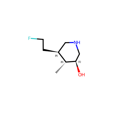 C[C@@H]1[C@@H](CCF)CNC[C@H]1O